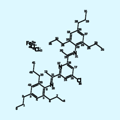 CCCc1cc(CCC)c(N=C(C)c2cc(Cl)cc(C(C)=Nc3c(CCC)cc(CCC)cc3CCC)n2)c(CCC)c1.[Cl-].[Cl-].[Fe+2]